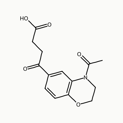 CC(=O)N1CCOc2ccc(C(=O)CCC(=O)O)cc21